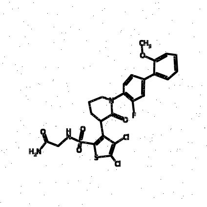 COc1ccccc1-c1ccc(N2CCCC(c3c(S(=O)(=O)NCC(N)=O)sc(Cl)c3Cl)C2=O)c(F)c1